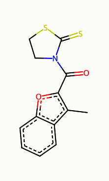 Cc1c(C(=O)N2CCSC2=S)oc2ccccc12